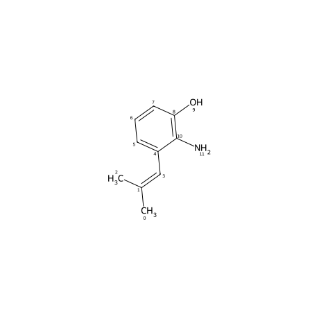 CC(C)=Cc1cccc(O)c1N